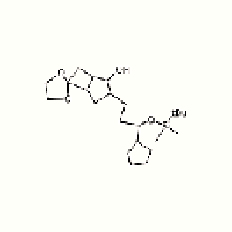 CC(C)(C)[Si](C)(C)OC(CCC1CC2C(CC23OCCO3)C1O)C1CCCC1